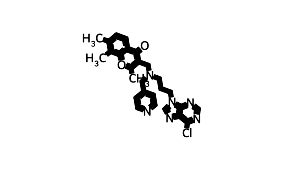 Cc1ccc2c(=O)c(CN(CCCn3cnc4c(Cl)ncnc43)Cc3ccncc3)c(C)oc2c1C